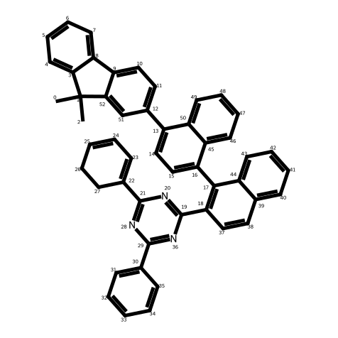 CC1(C)c2ccccc2-c2ccc(-c3ccc(-c4c(-c5nc(C6=CC=CCC6)nc(-c6ccccc6)n5)ccc5ccccc45)c4ccccc34)cc21